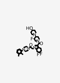 Cc1cccc(N2CCN(C(=O)Cn3cc(C(=O)N4CC[C@@H](N5CCC(O)CC5)[C@@H](F)C4)c4c3CC(F)(F)CC4)CC2)c1C